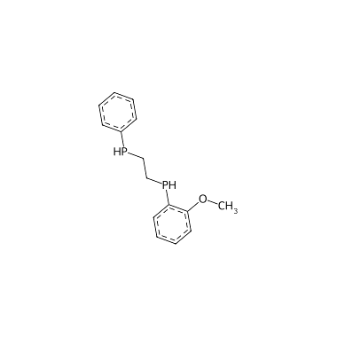 COc1ccccc1PCCPc1ccccc1